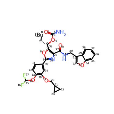 CC(C)(C)C[C@H](OC(N)=O)c1oc(-c2ccc(OC(F)F)c(OCC3CC3)c2)nc1C(=O)NCc1coc2ccccc12